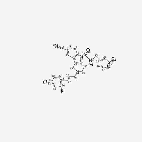 N#Cc1ccc2c(c1)c1c(n2C(=O)NCc2ccnc(Cl)c2)CCN(CC=Cc2ccc(Cl)cc2F)C1